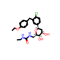 CCNC(=O)NC[C@H]1O[C@@H](c2ccc(Cl)c(Cc3ccc(OCC)cc3)c2)C[C@@H](O)[C@@H]1O